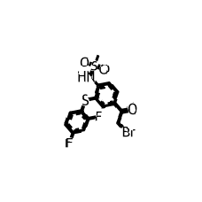 CS(=O)(=O)Nc1ccc(C(=O)CBr)cc1Sc1ccc(F)cc1F